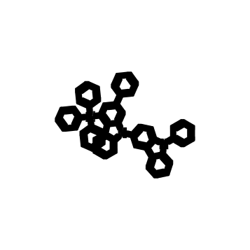 c1ccc(-c2cc([Si](c3ccccc3)(c3ccccc3)c3ccccc3)c3c4ccccc4n(-c4ccc5c(c4)c4ccccc4n5-c4ccccc4)c3c2)cc1